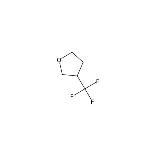 FC(F)(F)C1CCOC1